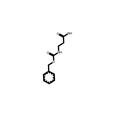 [NH]C(=O)CCNC(=O)OCc1ccccc1